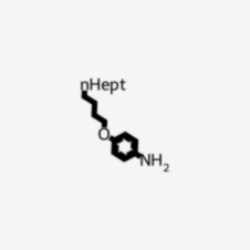 CCCCCCCCCCCOc1ccc(N)cc1